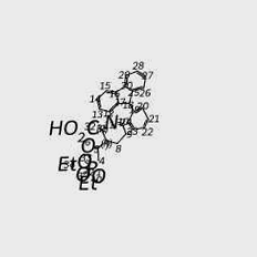 CCOP(=O)(CC(=O)[C@@H]1CCCN(c2cccc3c2C(c2ccccc2)c2ccccc2-3)[C@H]1C(=O)O)OCC